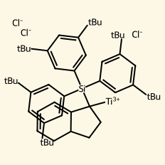 CC(C)(C)c1cc(C(C)(C)C)cc([Si](c2cc(C(C)(C)C)cc(C(C)(C)C)c2)(c2cc(C(C)(C)C)cc(C(C)(C)C)c2)[C]2([Ti+3])CCC3CC=CC=C32)c1.[Cl-].[Cl-].[Cl-]